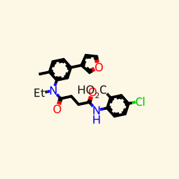 CCN(C(=O)CCC(=O)Nc1ccc(Cl)cc1C(=O)O)c1cc(-c2ccoc2)ccc1C